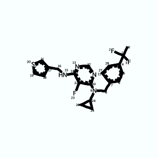 CC(F)(F)c1ccc(CN(c2ncnc(NCc3ccsc3)c2F)C2CC2)cc1